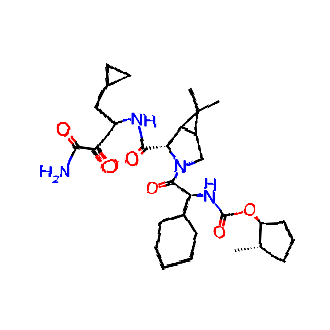 C[C@H]1CCC[C@@H]1OC(=O)N[C@H](C(=O)N1CC2C([C@H]1C(=O)NC(CC1CC1)C(=O)C(N)=O)C2(C)C)C1CCCCC1